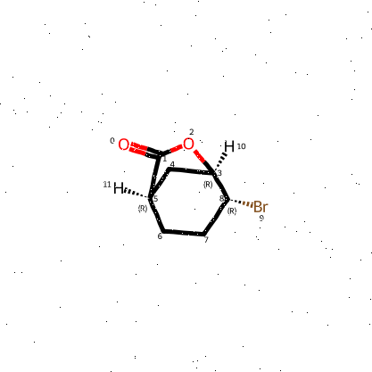 O=C1O[C@@H]2C[C@H]1CC[C@H]2Br